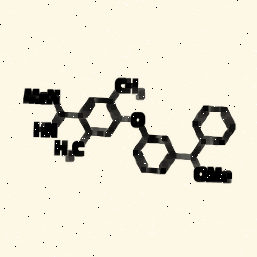 CNC(=N)c1cc(C)c(Oc2cccc(C(OC)c3ccccc3)c2)cc1C